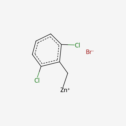 Clc1cccc(Cl)c1[CH2][Zn+].[Br-]